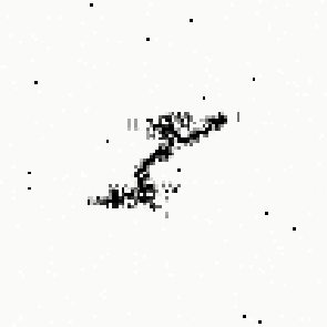 C/C=C/C(O)C(C)(C(=O)OC)C(C\C=C/C=C/C=C/c1nc(CO)co1)OC(=O)c1coc(/C=C/C=C/C=C\CC(OC)C(C)(C(=O)OC)C(/C=C/C)OC(=O)CCC(=O)N[C@@H](C)CC)n1